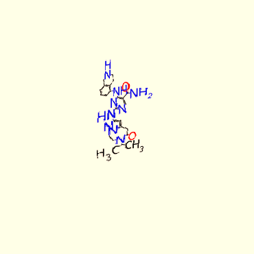 CC(C)N1CCn2nc(Nc3ncc(C(N)=O)c(Nc4cccc5c4CCNC5)n3)cc2CC1=O